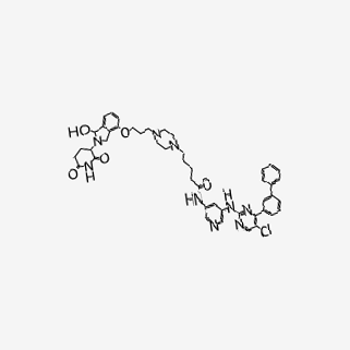 O=C1CCC(N2Cc3c(OCCCN4CCN(CCCCC(=O)Nc5cncc(Nc6ncc(Cl)c(-c7cccc(-c8ccccc8)c7)n6)c5)CC4)cccc3C2O)C(=O)N1